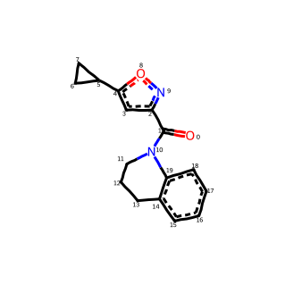 O=C(c1cc(C2CC2)on1)N1CCCc2ccccc21